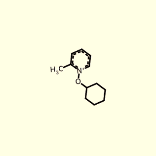 Cc1cccc[n+]1OC1CCCCC1